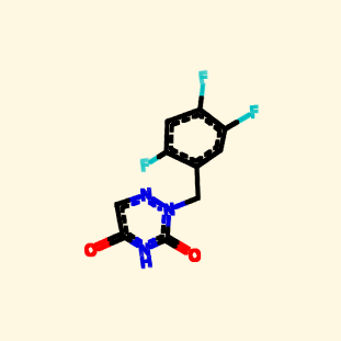 O=c1cnn(Cc2cc(F)c(F)cc2F)c(=O)[nH]1